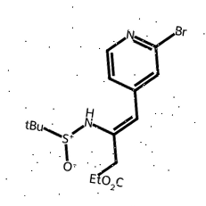 CCOC(=O)CC(=Cc1ccnc(Br)c1)N[S+]([O-])C(C)(C)C